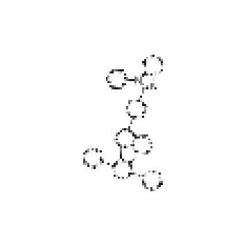 c1ccc(-c2ccc(-c3ccccc3)c3c2-c2cccc4c(-c5ccc(-c6nc7ccccc7n6-c6ccccc6)cc5)ccc-3c24)cc1